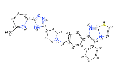 Cc1cccc(-c2nnc(C3CCN(Cc4ccc(-c5nc6sccn6c5-c5ccccc5)cc4)CC3)[nH]2)n1